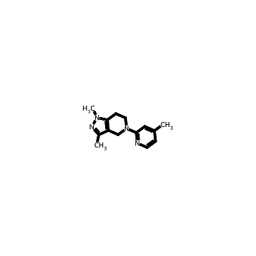 Cc1ccnc(N2CCc3c(c(C)nn3C)C2)c1